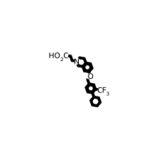 O=C(O)CCN1CCc2ccc(OCc3ccc(C4CCCCC4)c(C(F)(F)F)c3)cc2C1